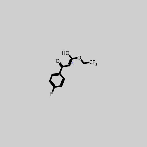 O=C(/C=C(\O)OCC(F)(F)F)c1ccc(F)cc1